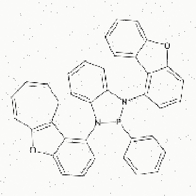 C1=CCc2c(oc3cccc(N4c5ccccc5N(c5cccc6oc7ccccc7c56)P4c4ccccc4)c23)C=C1